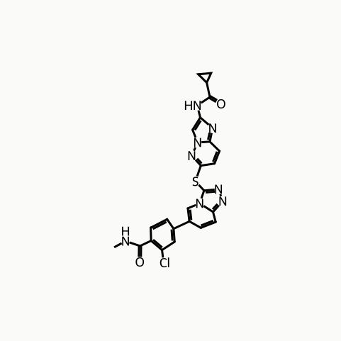 CNC(=O)c1ccc(-c2ccc3nnc(Sc4ccc5nc(NC(=O)C6CC6)cn5n4)n3c2)cc1Cl